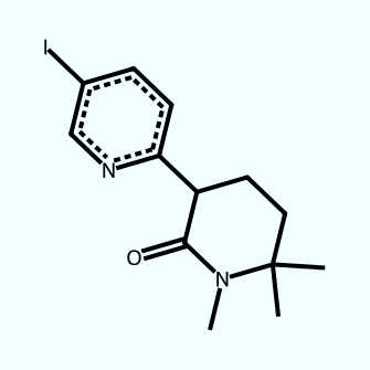 CN1C(=O)C(c2ccc(I)cn2)CCC1(C)C